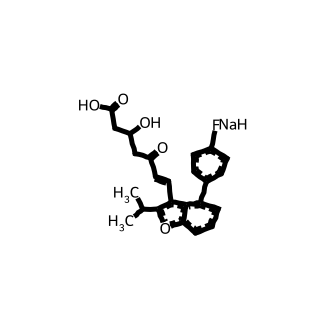 CC(C)c1oc2cccc(-c3ccc(F)cc3)c2c1C=CC(=O)CC(O)CC(=O)O.[NaH]